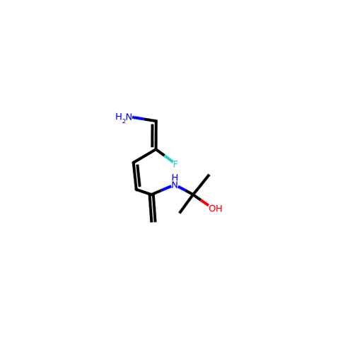 C=C(/C=C\C(F)=C/N)NC(C)(C)O